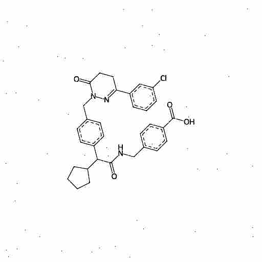 O=C(O)c1ccc(CNC(=O)C(c2ccc(CN3N=C(c4cccc(Cl)c4)CCC3=O)cc2)C2CCCC2)cc1